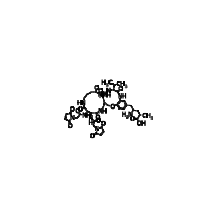 CC(C)C1NC(=O)[C@H]2NC(=O)CCCNC(=O)[C@H](NC(=O)CN3C(=O)C=CC3=O)[C@H](NC(=O)CN3C(=O)C=CC3=O)C(=O)NCC2COc2ccc(C[C@H](N)C[C@H](C)C(=O)O)cc2NC1=O